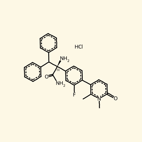 Cc1c(-c2ccc([C@](N)(C(N)=O)C(c3ccccc3)c3ccccc3)cc2F)ccc(=O)n1C.Cl